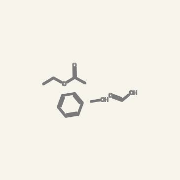 CCOC(C)=O.CO.O=CO.c1ccccc1